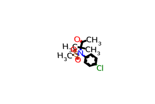 CC(=O)C(C)(C)N(c1ccc(Cl)cc1)S(C)(=O)=O